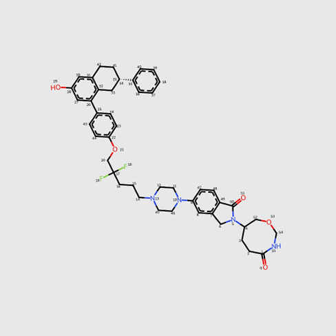 O=C1CCC(N2Cc3cc(N4CCN(CCCC(F)(F)COc5ccc(-c6cc(O)cc7c6C[C@@H](c6ccccc6)CC7)cc5)CC4)ccc3C2=O)COCN1